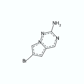 Nc1ncc2cc(Br)cn2n1